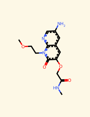 CNC(=O)COc1cc2cc(N)cnc2n(CCOC)c1=O